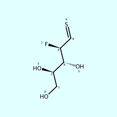 OC[C@@H](O)[C@@H](O)[C@@H](F)C=S